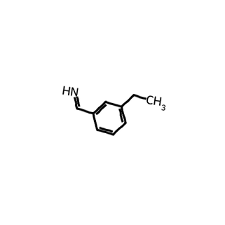 CCc1cccc(C=N)c1